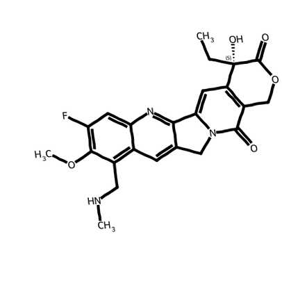 CC[C@@]1(O)C(=O)OCc2c1cc1n(c2=O)Cc2cc3c(CNC)c(OC)c(F)cc3nc2-1